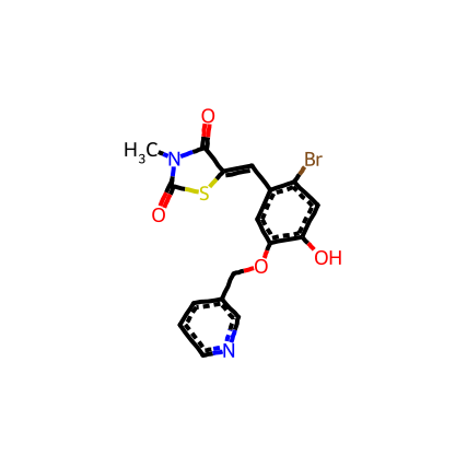 CN1C(=O)S/C(=C\c2cc(OCc3cccnc3)c(O)cc2Br)C1=O